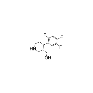 OCC1CNCCC1c1cc(F)c(F)cc1F